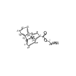 [N-]=[N+]=NCOC(=O)c1cc2c3ccccc3c3cccc1n32